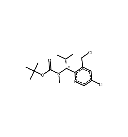 CC(C)[C@H](c1ncc(Cl)cc1CCl)N(C)C(=O)OC(C)(C)C